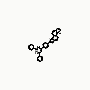 c1ccc(-c2cc(-c3ccc(-c4cc5ccc6c(ccc7ccsc76)c5s4)cc3)nc(-c3ccccc3)n2)cc1